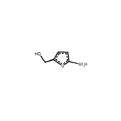 O=S(=O)(O)c1ccc(CO)o1